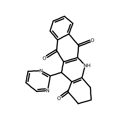 O=C1CCCC2=C1C(c1ncccn1)C1=C(N2)C(=O)c2ccccc2C1=O